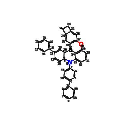 c1ccc(-c2ccc(N3c4ccc(-c5ccccc5)cc4B4c5cc6c(cc5Oc5cccc3c54)CC6)cc2)cc1